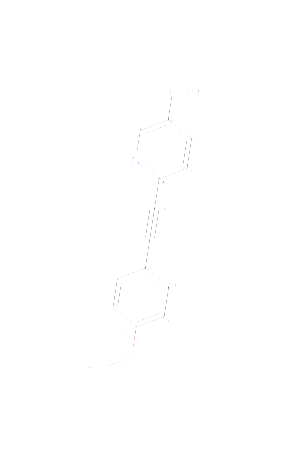 CCCCCCc1ccc(C#Cc2ccc(OC(F)(F)F)cc2)nc1